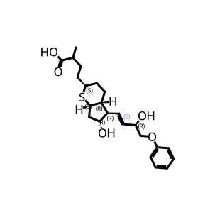 CC(CC[C@H]1CC[C@@H]2[C@@H](/C=C/[C@@H](O)COc3ccccc3)[C@H](O)C[C@@H]2S1)C(=O)O